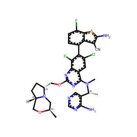 C[C@@H]1CN2[C@@H](COc3nc(N(C)[C@H](C)c4cncnc4N)c4cc(Cl)c(-c5ccc(F)c6sc(N)c(C#N)c56)c(F)c4n3)CC[C@H]2CO1